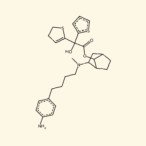 CN(CCCCc1ccc(N)cc1)C1CC2CCC1C2OC(=O)C(O)(C1=CCCS1)c1cccs1